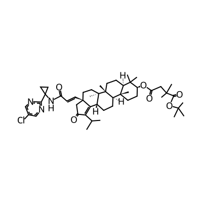 CC(C)C1=C2[C@H]3CC[C@@H]4[C@@]5(C)CC[C@H](OC(=O)CC(C)(C)C(=O)OC(C)(C)C)C(C)(C)[C@@H]5CC[C@@]4(C)[C@]3(C)CC[C@@]2(/C=C/C(=O)NC2(c3ncc(Cl)cn3)CC2)CC1=O